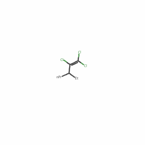 CCCC(CC)C(Cl)=C(Cl)Cl